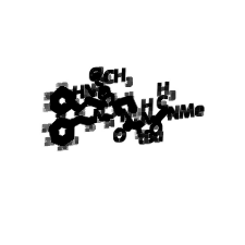 CN[C@@H](C)C(=O)N[C@H](C(=O)N1CCC[C@H]1CN(CCc1ccccc1)C(=O)[C@@H](Cc1ccccc1)NS(C)(=O)=O)C(C)(C)C